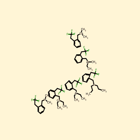 CC[CH2][In]([CH2]CC)[CH2]c1ccccc1CC(F)(F)F.C[CH2][Al]([CH2]C)[CH2]c1ccccc1CC(F)(F)F.C[CH2][Al]([CH3])[CH2]c1ccccc1CC(F)(F)F.C[CH2][Ga]([CH2]C)[CH2]c1ccccc1CC(F)(F)F.[CH3][Ga]([CH3])[CH2]c1ccccc1CC(F)(F)F.[CH3][In]([CH3])[CH2]c1ccccc1CC(F)(F)F